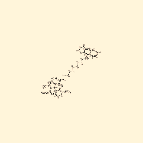 COC(=O)C1=C(C)NC(C)=C(C(=O)OCCCCCCCCCCNc2c3c(nc4cc(Cl)ccc24)CCCC3)C1c1cccc([N+](=O)[O-])c1